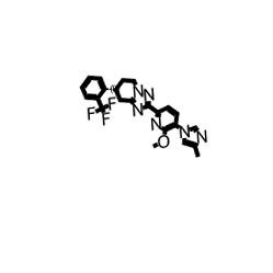 COc1nc(-c2nc3n(n2)CC[C@@H](c2ccccc2C(F)(F)F)C3)ccc1-n1cnc(C)c1